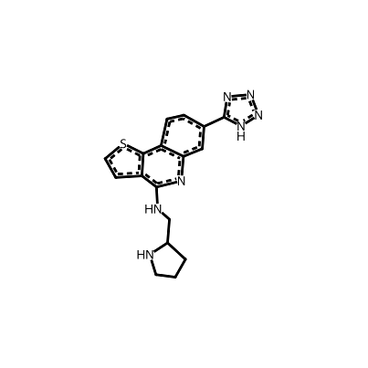 c1cc2c(NCC3CCCN3)nc3cc(-c4nnn[nH]4)ccc3c2s1